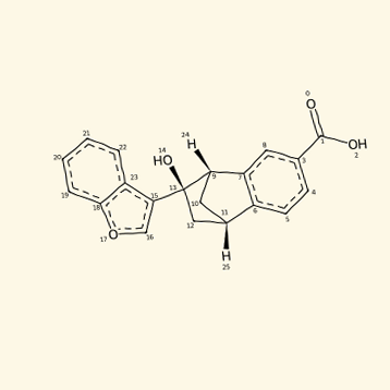 O=C(O)c1ccc2c(c1)[C@@H]1C[C@H]2C[C@]1(O)c1coc2ccccc12